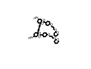 CCCC1CCC(C#CC#CC2(OC(=O)C3CCC(OCCCOC4CCCCO4)CC3)CCC(CCC)CC2)(OC(=O)C2CCC(OCCCOC3CCCCO3)CC2)CC1